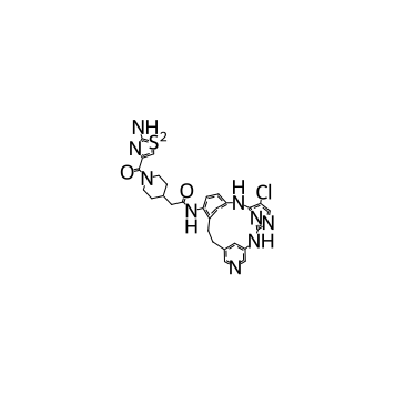 Nc1nc(C(=O)N2CCC(CC(=O)Nc3ccc4cc3CCc3cncc(c3)Nc3ncc(Cl)c(n3)N4)CC2)cs1